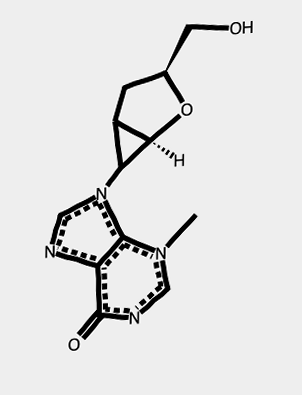 Cn1cnc(=O)c2ncn(C3C4C[C@@H](CO)O[C@H]43)c21